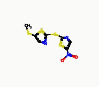 CSc1cnc(Sc2ncc([N+](=O)[O-])s2)s1